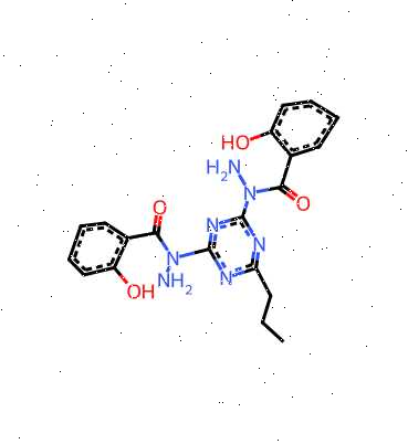 CCCc1nc(N(N)C(=O)c2ccccc2O)nc(N(N)C(=O)c2ccccc2O)n1